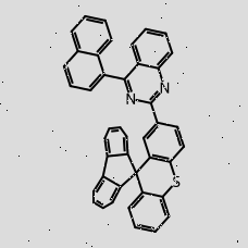 c1ccc2c(c1)Sc1ccc(-c3nc(-c4cccc5ccccc45)c4ccccc4n3)cc1C21c2ccccc2-c2ccccc21